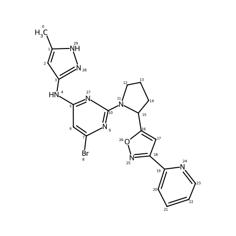 Cc1cc(Nc2cc(Br)nc(N3CCCC3c3cc(-c4ccccn4)no3)n2)n[nH]1